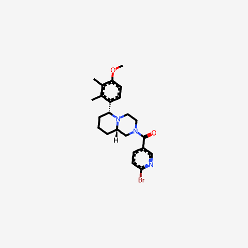 COc1ccc([C@H]2CCC[C@H]3CN(C(=O)c4ccc(Br)nc4)CCN32)c(C)c1C